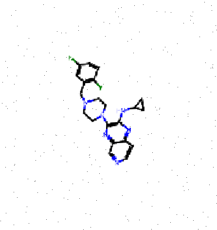 Fc1ccc(F)c(CN2CCN(c3nc4cnccc4nc3NC3CC3)CC2)c1